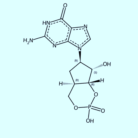 Nc1nc2c(ncn2[C@@H]2C[C@@H]3COP(=O)(O)O[C@H]3[C@H]2O)c(=O)[nH]1